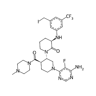 CN1CCN(C(=O)[C@@H]2CCN(c3ncnc(N)c3F)C[C@H]2N2CCC[C@@H](Nc3cc(CI)cc(C(F)(F)F)c3)C2=O)CC1